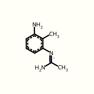 C/C(N)=N/c1cccc(N)c1C